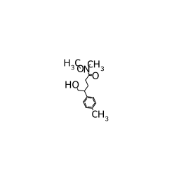 CON(C)C(=O)CCC(CO)c1ccc(C)cc1